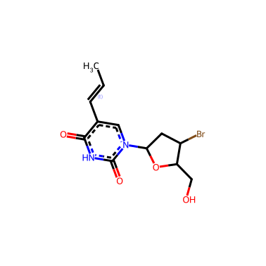 C/C=C/c1cn(C2CC(Br)C(CO)O2)c(=O)[nH]c1=O